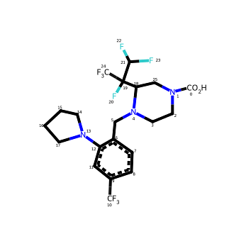 O=C(O)N1CCN(Cc2ccc(C(F)(F)F)cc2N2CCCC2)C(C(F)(C(F)F)C(F)(F)F)C1